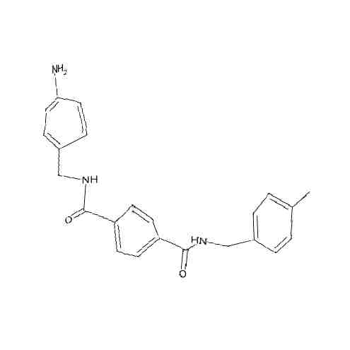 Cc1ccc(CNC(=O)c2ccc(C(=O)NCc3ccc(N)cc3)cc2)cc1